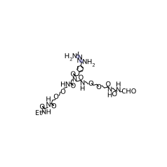 CCNC(=O)CNC(=O)CCOCCOCCNC(=O)CN(CC(=O)NCCOCCOCCC(=O)NCC(=O)NCC=O)C(=O)Cc1ccc(/C(N)=N/N=C(/C)N)cc1